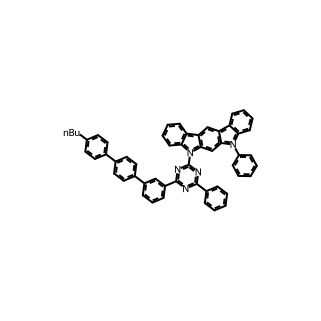 CCCCc1ccc(-c2ccc(-c3cccc(-c4nc(-c5ccccc5)nc(-n5c6ccccc6c6cc7c8ccccc8n(-c8ccccc8)c7cc65)n4)c3)cc2)cc1